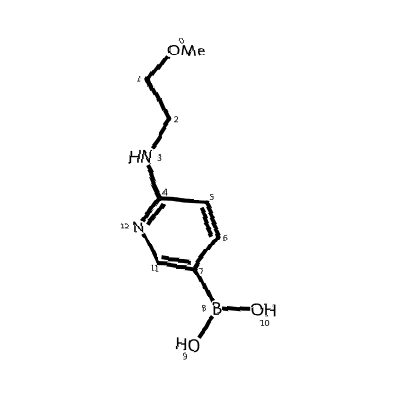 COCCNc1ccc(B(O)O)cn1